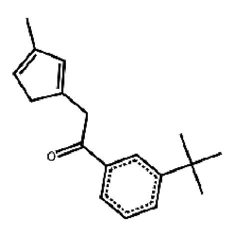 CC1=CCC(CC(=O)c2cccc(C(C)(C)C)c2)=C1